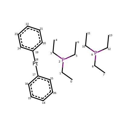 CCP(CC)CC.CCP(CC)CC.c1cc[c]([Pt][c]2ccccc2)cc1